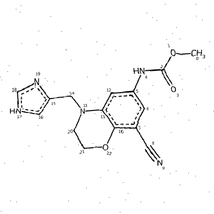 COC(=O)Nc1cc(C#N)c2c(c1)N(Cc1c[nH]cn1)CCO2